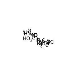 CCC(=O)NCCN1CCCC(C2CN(c3ncc(Cl)c(NC(C)c4ccc(Cl)cc4Cl)n3)C2)C1C(=O)O